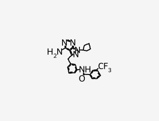 Nc1ncnc2c1c(Cc1cccc(NC(=O)c3cccc(C(F)(F)F)c3)c1)nn2C1CCCC1